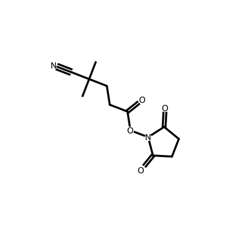 CC(C)(C#N)CCC(=O)ON1C(=O)CCC1=O